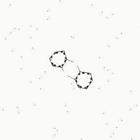 [c]1ccc2c(c1)Oc1ccccc1O2